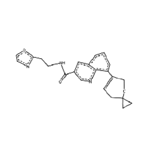 O=C(NCCc1ncco1)c1cnc2c(C3=CCC4(CC3)CC4)cccc2c1